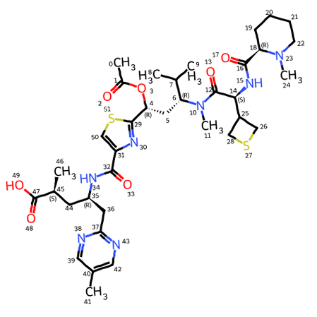 CC(=O)O[C@H](C[C@H](C(C)C)N(C)C(=O)[C@@H](NC(=O)[C@H]1CCCCN1C)C1CSC1)c1nc(C(=O)N[C@@H](Cc2ncc(C)cn2)C[C@H](C)C(=O)O)cs1